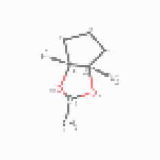 CC[C@@]12CCC[C@]1(CC)OB(C)O2